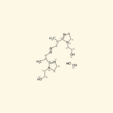 CC(CN=NCC(C)C1=NCCN1CCO)C1=NCCN1CCO.Cl.Cl